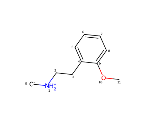 [CH2-][NH2+]CCc1ccccc1OC